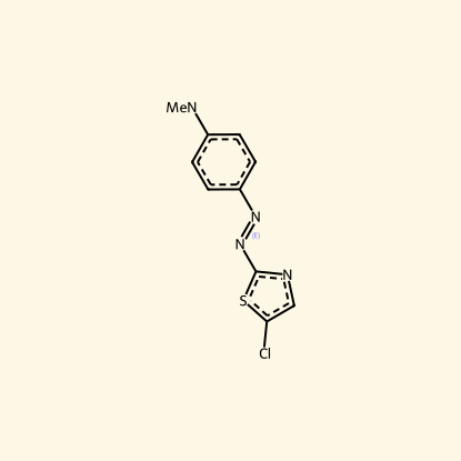 CNc1ccc(/N=N/c2ncc(Cl)s2)cc1